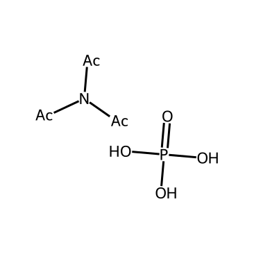 CC(=O)N(C(C)=O)C(C)=O.O=P(O)(O)O